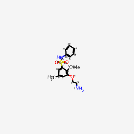 COc1c(OCCN)cc(C)cc1S(=O)(=O)Nc1ccccc1